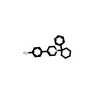 Cc1ccc(C2=CCN(C3(c4ccccc4)CCCCC3)CC2)cc1